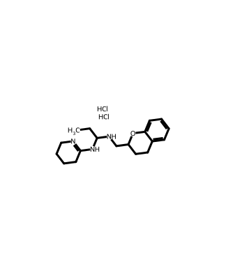 CCC(NCC1CCc2ccccc2O1)NC1=NCCCC1.Cl.Cl